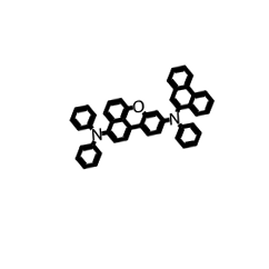 c1ccc(N(c2ccccc2)c2ccc3c4c(cccc24)Oc2cc(N(c4ccccc4)c4cc5ccccc5c5ccccc45)ccc2-3)cc1